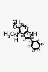 CNc1c(OC)cnc2[nH]c(-c3ccccc3)cc12